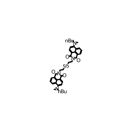 CCCCN(C)c1ccc2c3c(cccc13)C(=O)N(CCSSCCN1C(=O)c3cccc4c(N(C)CCCC)ccc(c34)C1=O)C2=O